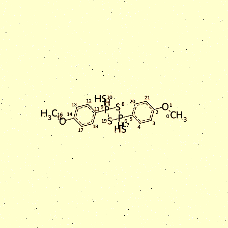 COc1ccc([PH]2(S)S[PH](S)(c3ccc(OC)cc3)S2)cc1